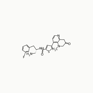 CN1CC(=O)Cc2nccc(-c3csc(C(=O)N[C@H](CN)Cc4cccc(F)c4)c3)c21